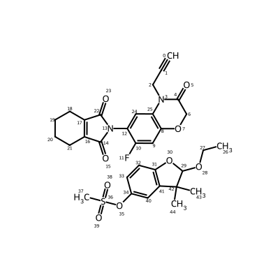 C#CCN1C(=O)COc2cc(F)c(N3C(=O)C4=C(CCCC4)C3=O)cc21.CCOC1Oc2ccc(OS(C)(=O)=O)cc2C1(C)C